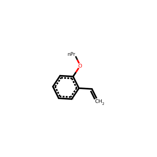 C=Cc1[c]cccc1OCCC